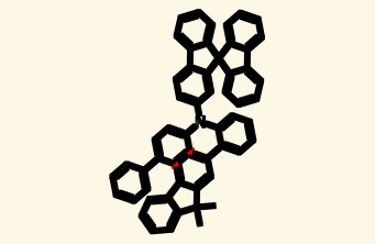 CC1(C)c2ccccc2-c2ccc(-c3ccccc3N(c3ccc(-c4ccccc4)cc3)c3ccc4c(c3)C3(c5ccccc5-c5ccccc53)c3ccccc3-4)cc21